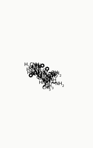 CCC(C)[C@H](NC(=O)CNC(=O)[C@H](C)NC(=O)[C@H](Cc1c[nH]c2ccccc12)NC(=O)[C@H](Cc1c[nH]c2ccccc12)NC(=O)[C@H](CS)NC(=O)[C@H](C)N)C(=O)N[C@@H](CCCCN)C(=O)N[C@@H](CCC(N)=O)C(=O)N[C@@H](CCC(=O)O)C(=O)N[C@@H](Cc1ccccc1)C(N)=O